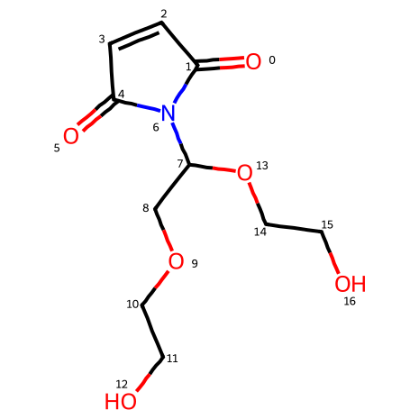 O=C1C=CC(=O)N1C(COCCO)OCCO